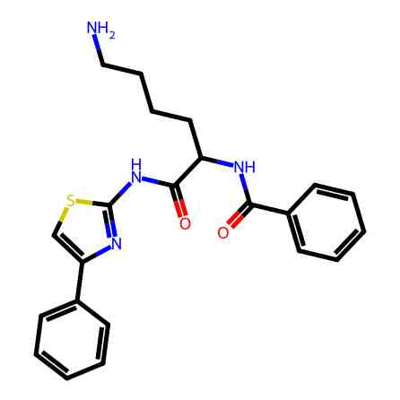 NCCCCC(NC(=O)c1ccccc1)C(=O)Nc1nc(-c2ccccc2)cs1